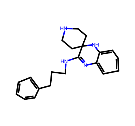 c1ccc(CCCNC2=Nc3ccccc3NC23CCNCC3)cc1